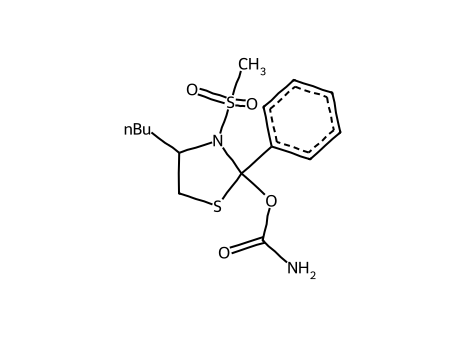 CCCCC1CSC(OC(N)=O)(c2ccccc2)N1S(C)(=O)=O